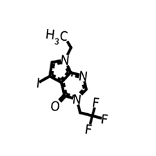 CCn1cc(I)c2c(=O)n(CC(F)(F)F)cnc21